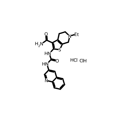 CCN1CCc2c(sc(NC(=O)Nc3cnc4ccccc4c3)c2C(N)=O)C1.Cl.Cl